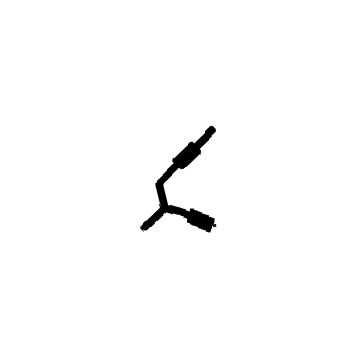 [C]#CC(C)CC#CC